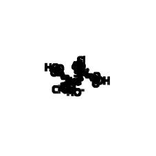 CCC(=Cc1sc2c([n+]1CCCCS(=O)(=O)O)OC(Cl)C=C2)C=C1Sc2ccc(Cl)cc2N1CCCCS(=O)(=O)O.[OH-]